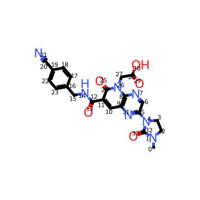 CN1CCN(c2cnc3c(cc(C(=O)NCc4ccc(C#N)cc4)c(=O)n3CC(=O)O)n2)C1=O